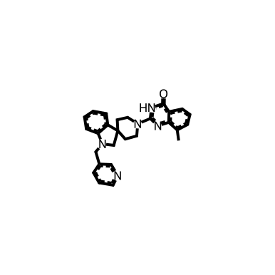 Cc1cccc2c(=O)[nH]c(N3CCC4(CC3)CN(Cc3cccnc3)c3ccccc34)nc12